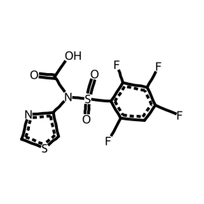 O=C(O)N(c1cscn1)S(=O)(=O)c1c(F)cc(F)c(F)c1F